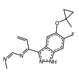 C=C/C(=N\C=N/C)c1n[nH]c2cc(F)c(OC3(C)CC3)cc12